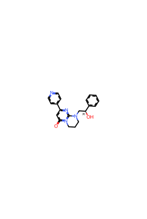 O=c1cc(-c2ccncc2)nc2n1CCCN2C[C@H](O)c1ccccc1